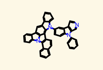 c1ccc(-n2c3ccc(-n4c5ccccc5c5cc6c7ccccc7n7c8c9ccccc9ccc8c(c54)c67)cc3c3ccncc32)cc1